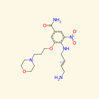 NC/C=C/CNc1c(OCCCN2CCOCC2)cc(C(N)=O)cc1[N+](=O)[O-]